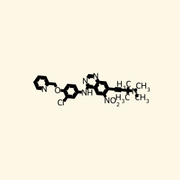 CN(C)C(C)(C)C#Cc1cc2ncnc(Nc3ccc(OCc4ccccn4)c(Cl)c3)c2cc1[N+](=O)[O-]